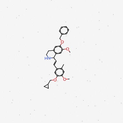 COc1cc2c(cc1OCc1ccccc1)CCNC2/C=C/c1cc(OCC2CC2)c(OC)cc1C